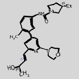 CC[C@@H]1CCN(C(=O)Nc2ccc(C)c(-c3cc(/C=C/[C@@H](C)O)nc(N4CCOCC4)c3)c2)C1